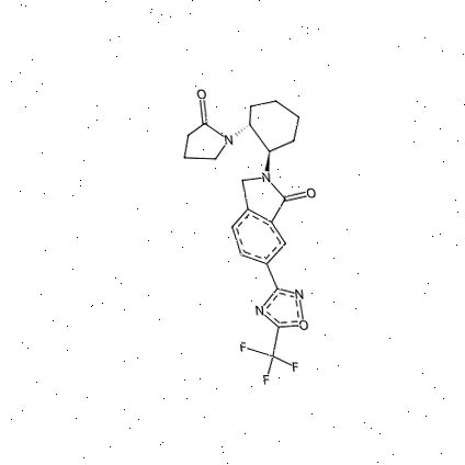 O=C1CCCN1[C@@H]1CCCC[C@H]1N1Cc2ccc(-c3noc(C(F)(F)F)n3)cc2C1=O